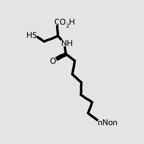 CCCCCCCCCCCCCCCC(=O)NC(CS)C(=O)O